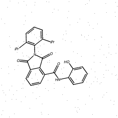 CC(C)c1cccc(C(C)C)c1N1C(=O)c2cccc(C(=O)Nc3ccccc3O)c2C1=O